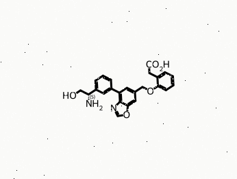 N[C@H](CO)c1cccc(-c2cc(COc3ccccc3CC(=O)O)cc3ocnc23)c1